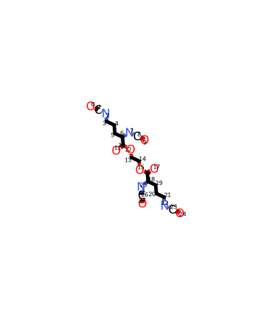 O=C=NCCCC(N=C=O)C(=O)OCCOC(=O)C(CCCN=C=O)N=C=O